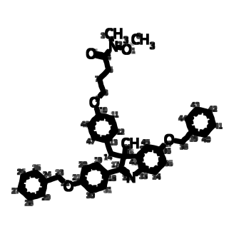 CON(C)C(=O)CCCOc1ccc(CC2(C)C(c3ccc(OCc4ccccc4)cc3)=Nc3ccc(OCc4ccccc4)cc32)cc1